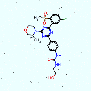 C[C@H]1COCCN1c1nc(-c2ccc(NC(=O)NCCO)cc2)nc(-c2cc(F)ccc2S(C)(=O)=O)n1